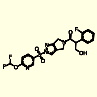 O=C(C(CO)c1ccccc1F)N1Cc2cn(S(=O)(=O)c3ccc(OC(F)F)nc3)nc2C1